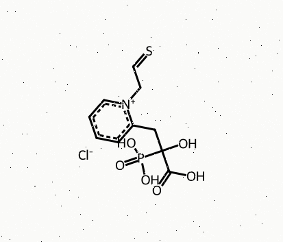 O=C(O)C(O)(Cc1cccc[n+]1CC=S)P(=O)(O)O.[Cl-]